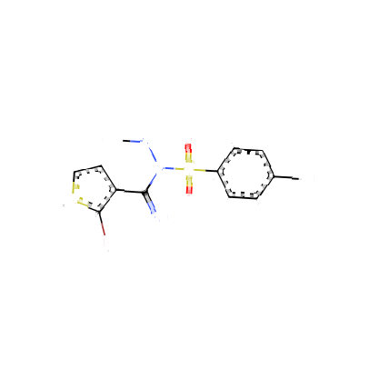 CNN(C(=N)c1ccsc1Br)S(=O)(=O)c1ccc(C)cc1